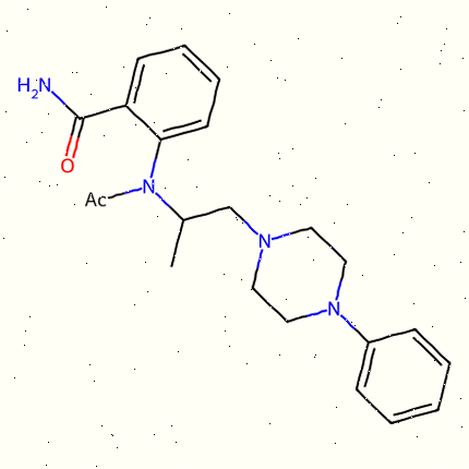 CC(=O)N(c1ccccc1C(N)=O)C(C)CN1CCN(c2ccccc2)CC1